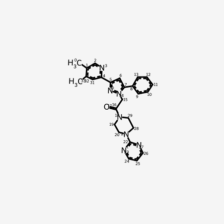 Cc1cnc(-c2cc(-c3ccccc3)n(CC(=O)N3CCN(c4ncccn4)CC3)n2)cc1C